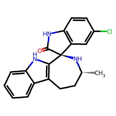 C[C@@H]1CCc2c([nH]c3ccccc23)[C@]2(N1)C(=O)Nc1ccc(Cl)cc12